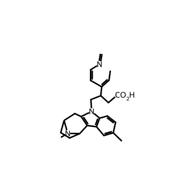 C=N/C=C\C(=C/C)C(CC(=O)O)Cn1c2c(c3cc(C)ccc31)C1CCC(C2)N1C